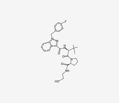 CC(C)(C)[C@H](NC(=O)c1nn(Cc2ccc(F)cc2)c2ccccc12)C(=O)N1CCC[C@H]1C(=O)NCCO